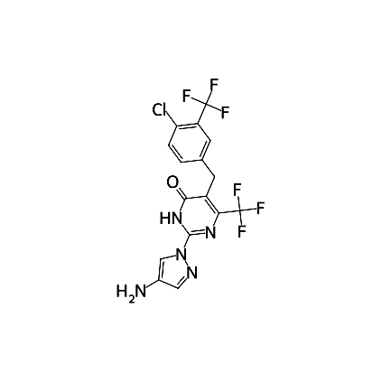 Nc1cnn(-c2nc(C(F)(F)F)c(Cc3ccc(Cl)c(C(F)(F)F)c3)c(=O)[nH]2)c1